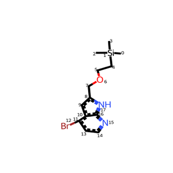 C[Si](C)(C)CCOCc1cc2c(Br)ccnc2[nH]1